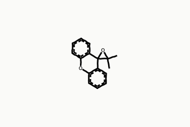 CC1(C)OC12c1ccccc1Oc1ccccc12